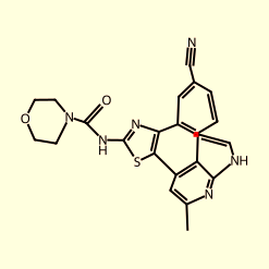 Cc1cc(-c2sc(NC(=O)N3CCOCC3)nc2-c2cccc(C#N)c2)c2cc[nH]c2n1